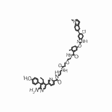 CCc1c(-c2ccc(C(=O)NCCNC(=O)CCOCCNC(=O)c3cc(Oc4nc5cc(-c6ccc7c(ccn7C)c6)c(Cl)cc5[nH]4)ccc3C)nc2)cnc(N)c1-c1ccc(O)cc1